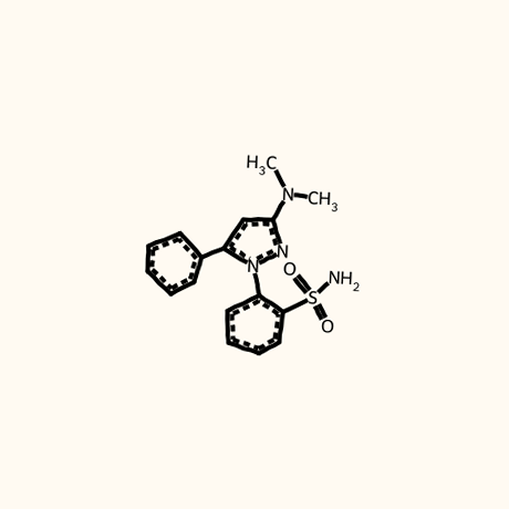 CN(C)c1cc(-c2ccccc2)n(-c2ccccc2S(N)(=O)=O)n1